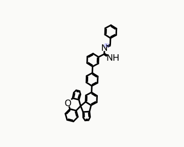 N=C(/N=C/c1ccccc1)c1cccc(-c2ccc(-c3ccc4c(c3)C3(c5ccccc5Oc5ccccc53)c3ccccc3-4)cc2)c1